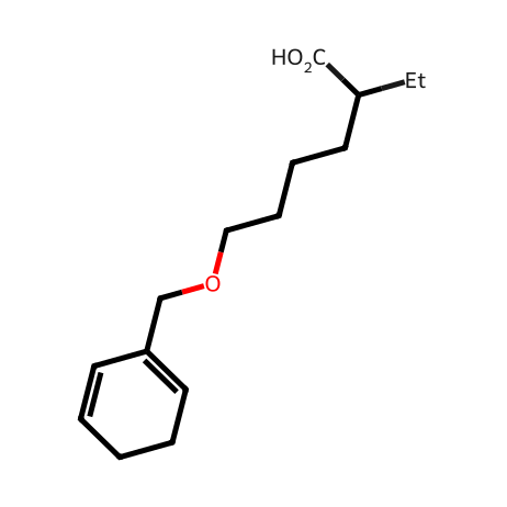 CCC(CCCCOCC1=CCCC=C1)C(=O)O